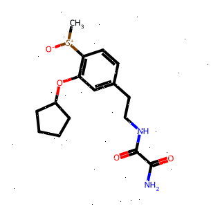 C[S+]([O-])c1ccc(CCNC(=O)C(N)=O)cc1OC1CCCC1